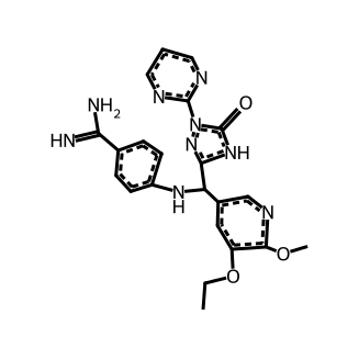 CCOc1cc(C(Nc2ccc(C(=N)N)cc2)c2nn(-c3ncccn3)c(=O)[nH]2)cnc1OC